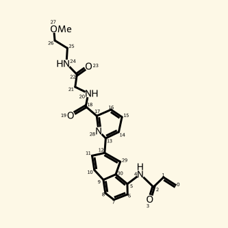 C=CC(=O)Nc1cccc2ccc(-c3cccc(C(=O)NCC(=O)NCCOC)n3)cc12